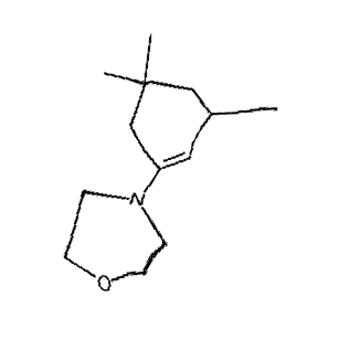 CC1C=C(N2CCOCC2)CC(C)(C)C1